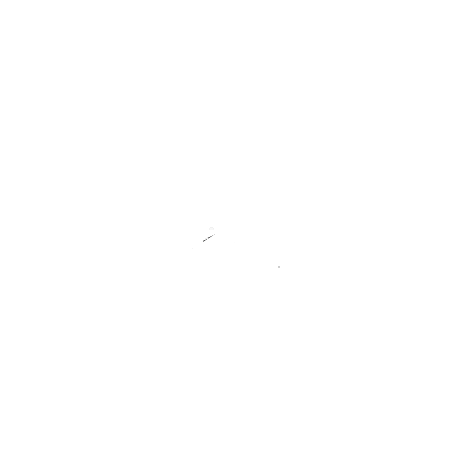 C[C@@H](C=O)O/C=C\O